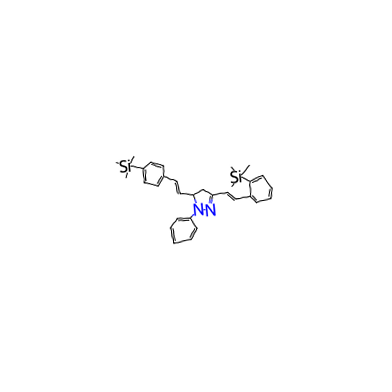 C[Si](C)(C)c1ccc(C=CC2CC(C=Cc3ccccc3[Si](C)(C)C)=NN2c2ccccc2)cc1